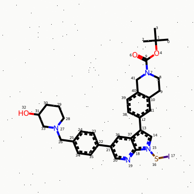 CC(C)(C)OC(=O)N1CCc2cc(-c3cn(SI)c4ncc(-c5ccc(CN6CCCC(O)C6)cc5)cc34)ccc2C1